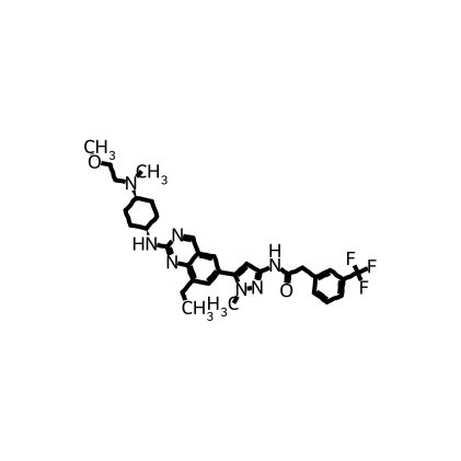 CCc1cc(-c2cc(NC(=O)Cc3cccc(C(F)(F)F)c3)nn2C)cc2cnc(N[C@H]3CC[C@H](N(C)CCOC)CC3)nc12